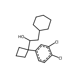 OC(CC1CCCCC1)C1(c2ccc(Cl)c(Cl)c2)CCC1